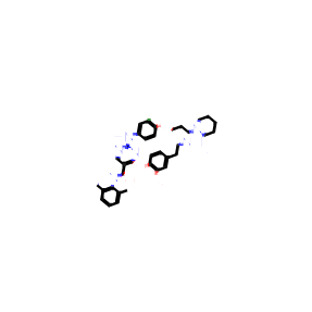 COc1cc(CCN)ccc1Oc1nc(Nc2ccc(OCCCN3CCCCC3)c(F)c2)ncc1C(=O)Nc1c(C)cccc1C